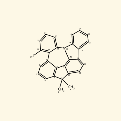 CC1(C)c2cccc3c2-c2c1ccc1c4ccccc4n(c21)-c1cccc(I)c1-3